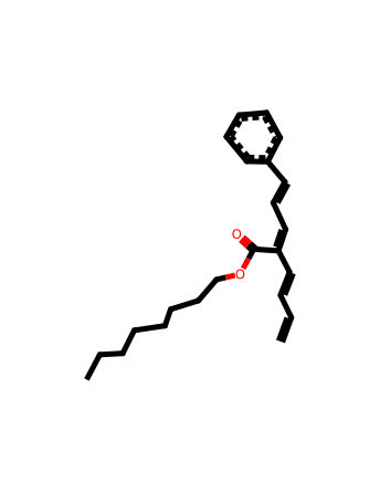 C=CC=CC(=CC=Cc1ccccc1)C(=O)OCCCCCCCC